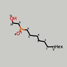 CCCCCCCCCCCC[P](=O)CCO